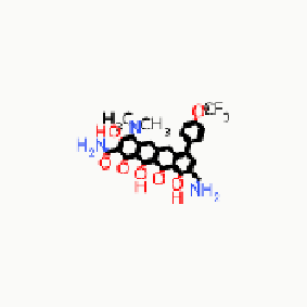 CN(C)[C@@H]1C(O)=C(C(N)=O)C(=O)C2C(O)=C3C(=O)c4c(O)c(CN)cc(-c5ccc(OC(F)(F)F)cc5)c4CC3CC21